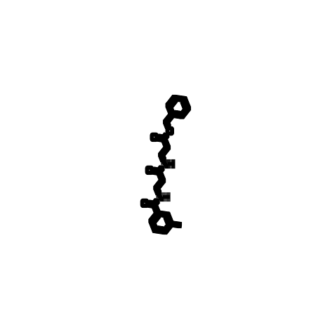 Cc1cccc(C(=O)NCCC(=O)NCCC(=O)OCc2ccccc2)c1